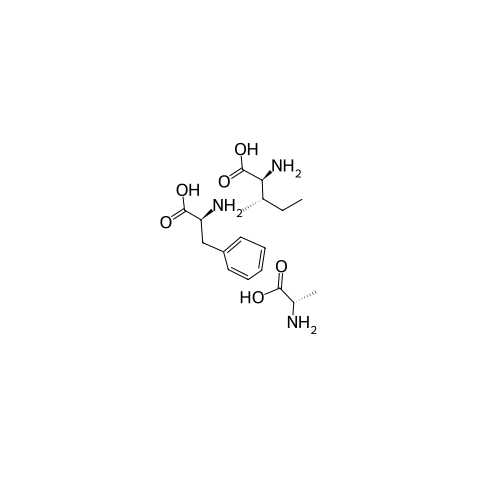 CC[C@H](C)[C@H](N)C(=O)O.C[C@H](N)C(=O)O.N[C@@H](Cc1ccccc1)C(=O)O